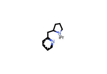 CC(C)N1CCCC1Cc1ccccn1